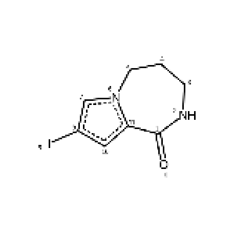 O=C1NCCCn2cc(I)cc21